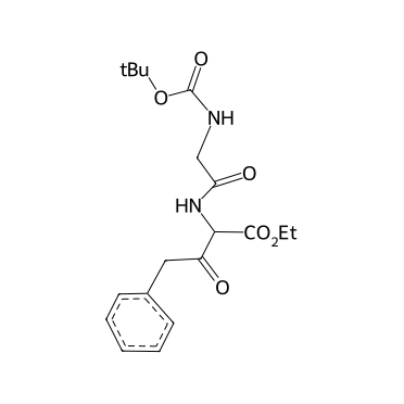 CCOC(=O)C(NC(=O)CNC(=O)OC(C)(C)C)C(=O)Cc1ccccc1